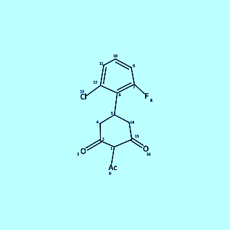 CC(=O)C1C(=O)CC(c2c(F)cccc2Cl)CC1=O